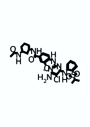 COc1cc(C(=O)NC2CCCC(NC(C)=O)C2)ccc1Nc1nc(N)c(Cl)c(Nc2ccccc2S(=O)(=O)C(C)C)n1